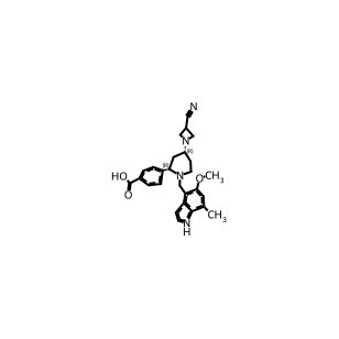 COc1cc(C)c2[nH]ccc2c1CN1CC[C@@H](N2CC(C#N)C2)C[C@@H]1c1ccc(C(=O)O)cc1